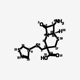 NC1C(=O)N2CC(CSN3C=NSC3)(C(=O)O)CS[C@H]12